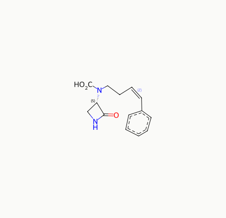 O=C1NC[C@@H]1N(CC/C=C\c1ccccc1)C(=O)O